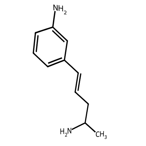 CC(N)CC=Cc1cccc(N)c1